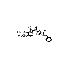 CC(=O)OCC1=C(C(=O)O)N2C(=O)C(Nc3nc(C(=O)NCc4ccccc4)cs3)[C@H]2SC1